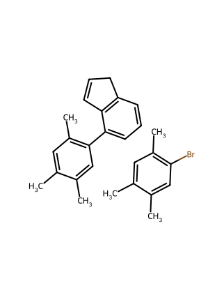 Cc1cc(C)c(-c2cccc3c2C=CC3)cc1C.Cc1cc(C)c(Br)cc1C